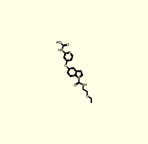 CCOCCNC(=O)n1ccc2cc(Oc3ccnc(NC(=O)O)c3)ccc21